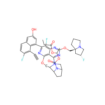 C#Cc1c(F)ccc2cc(O)cc(-c3nc4c5c(nc(OC[C@@]67CCCN6C[C@H](F)C7)nc5c3F)N3CC5CCC(C3CO4)N5C(=O)OC(C)OC(=O)CC)c12